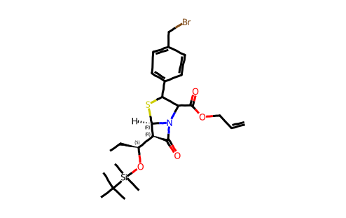 C=CCOC(=O)C1C(c2ccc(CBr)cc2)S[C@@H]2[C@H]([C@H](CC)O[Si](C)(C)C(C)(C)C)C(=O)N12